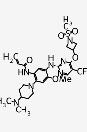 C=CC(=O)Nc1cc(Nc2ncc(C(F)(F)F)c(OC3CN(S(C)(=O)=O)C3)n2)c(OC)cc1N1CCC(N(C)C)CC1